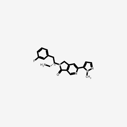 Cn1nccc1-c1cc2c(cn1)C(=O)N([C@H](CN)Cc1cccc(F)c1)C2